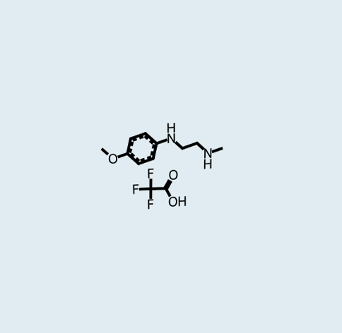 CNCCNc1ccc(OC)cc1.O=C(O)C(F)(F)F